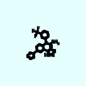 NC(=O)N(c1cccc(C(F)(F)F)c1)c1ccc(-c2ccsc2)cc1-c1nnn[nH]1